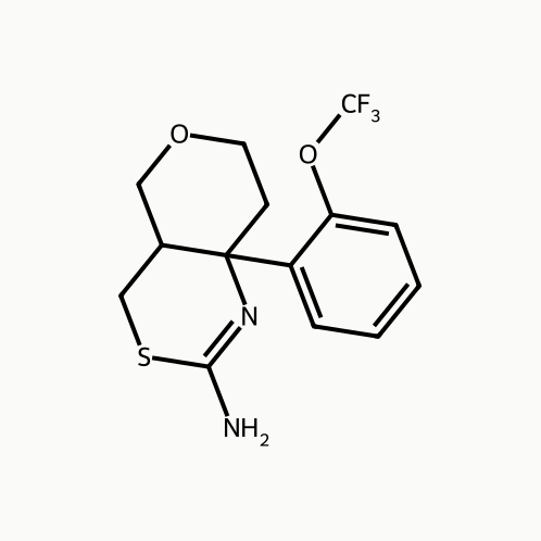 NC1=NC2(c3ccccc3OC(F)(F)F)CCOCC2CS1